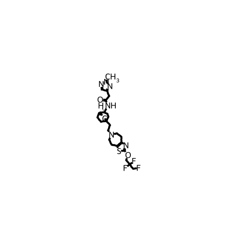 Cn1ncc(CC(=O)N[C@H]2CCC3(CCN4CCc5nc(OCC(F)(F)CF)sc5CC4)CC=C2CC3)n1